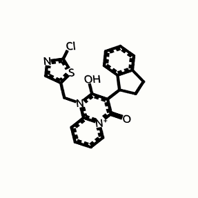 O=c1c(C2CCc3ccccc32)c(O)n(Cc2cnc(Cl)s2)c2cccc[n+]12